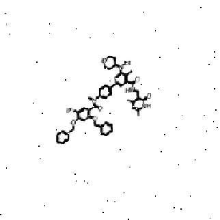 CCN(c1cc(-c2ccc(N(C)C(=O)c3cc(C(C)C)c(OCc4ccccc4)cc3OCc3ccccc3)cc2)cc(C(=O)NCc2c(C)cc(C)[nH]c2=O)c1C)C1CCOCC1